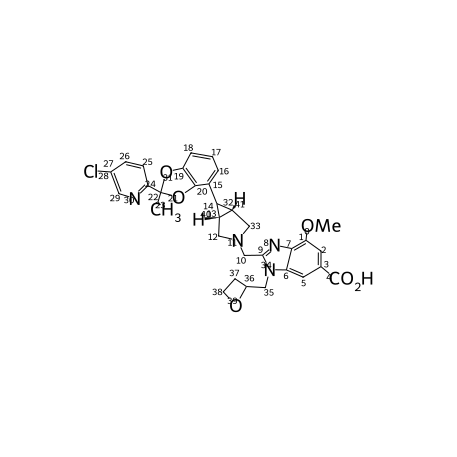 COc1cc(C(=O)O)cc2c1nc(CN1C[C@@H]3C(c4cccc5c4OC(C)(c4ccc(Cl)cn4)O5)[C@@H]3C1)n2CC1CCO1